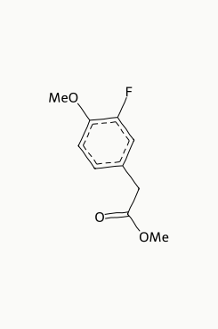 COC(=O)Cc1ccc(OC)c(F)c1